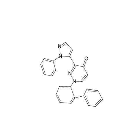 O=c1ccn(-c2ccccc2-c2ccccc2)nc1-c1ccnn1-c1ccccc1